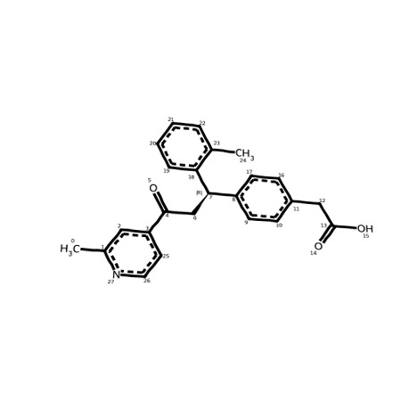 Cc1cc(C(=O)C[C@H](c2ccc(CC(=O)O)cc2)c2ccccc2C)ccn1